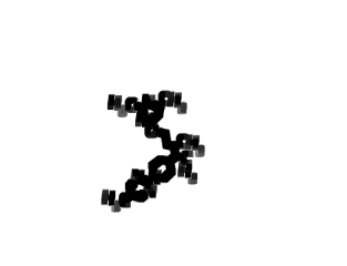 Cc1cnc(N2CCC(C(C)C(C)CCOc3cc(C)nc(C)n3)CC2)nc1